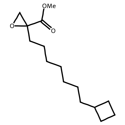 COC(=O)C1(CCCCCCCC2CCC2)CO1